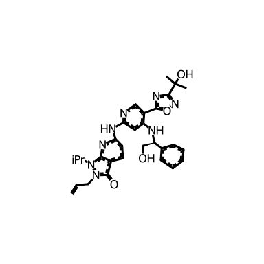 C=CCn1c(=O)c2ccc(Nc3cc(N[C@H](CO)c4ccccc4)c(-c4nc(C(C)(C)O)no4)cn3)nc2n1C(C)C